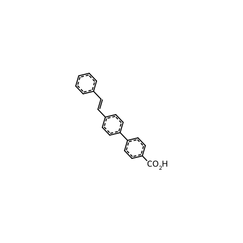 O=C(O)c1ccc(-c2ccc(C=Cc3ccccc3)cc2)cc1